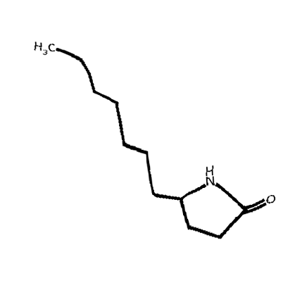 CCCCCCCC1CCC(=O)N1